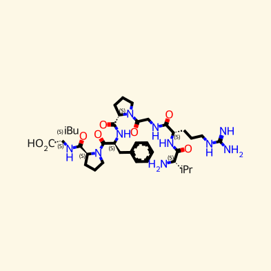 CC[C@H](C)[C@H](NC(=O)[C@@H]1CCCN1C(=O)[C@H](Cc1ccccc1)NC(=O)[C@@H]1CCCN1C(=O)CNC(=O)[C@H](CCCNC(=N)N)NC(=O)[C@@H](N)C(C)C)C(=O)O